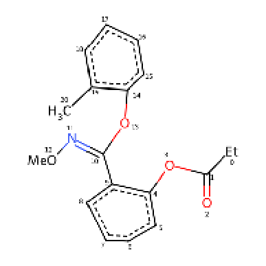 CCC(=O)Oc1ccccc1/C(=N\OC)Oc1ccccc1C